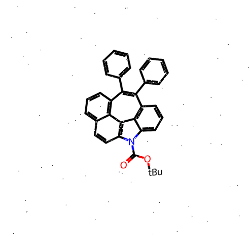 CC(C)(C)OC(=O)n1c2cccc3c2c2c4c(cccc4ccc21)C(c1ccccc1)=C3c1ccccc1